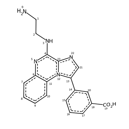 NCCNc1nc2ccccc2n2c(-c3cccc(C(=O)O)c3)cnc12